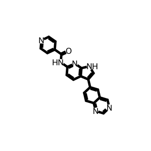 O=C(Nc1ccc2c(-c3ccc4ncncc4c3)c[nH]c2n1)c1ccncc1